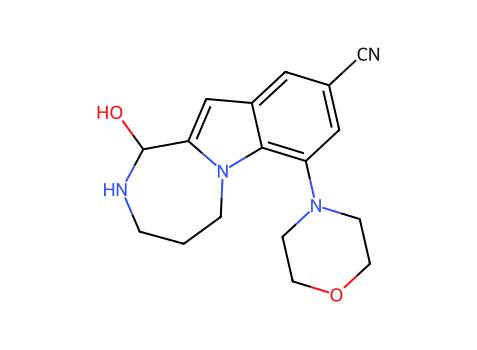 N#Cc1cc(N2CCOCC2)c2c(c1)cc1n2CCCNC1O